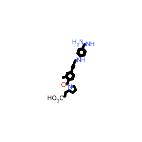 Cc1cc(C#CCNc2ccc(C(=N)N)cc2)ccc1C(=O)N1CCCC1CCC(=O)O